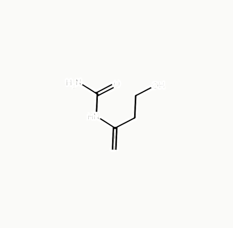 C=C(CCO)NC(N)=O